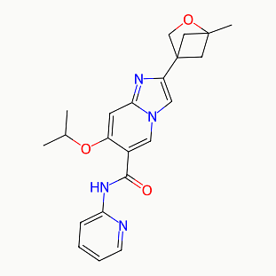 CC(C)Oc1cc2nc(C34COC(C)(C3)C4)cn2cc1C(=O)Nc1ccccn1